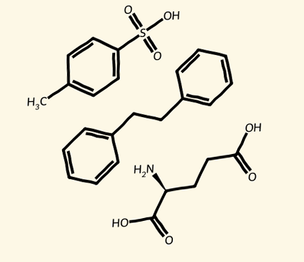 Cc1ccc(S(=O)(=O)O)cc1.N[C@@H](CCC(=O)O)C(=O)O.c1ccc(CCc2ccccc2)cc1